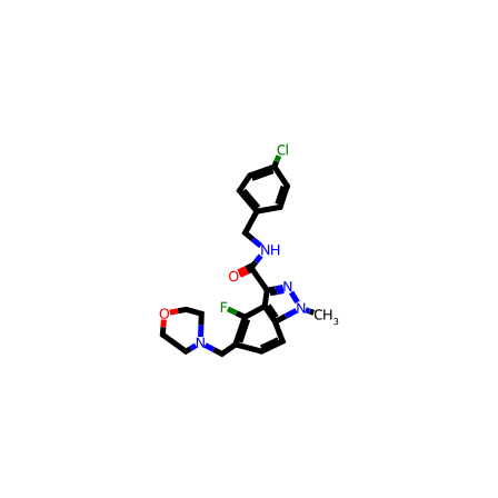 Cn1nc(C(=O)NCc2ccc(Cl)cc2)c2c(F)c(CN3CCOCC3)ccc21